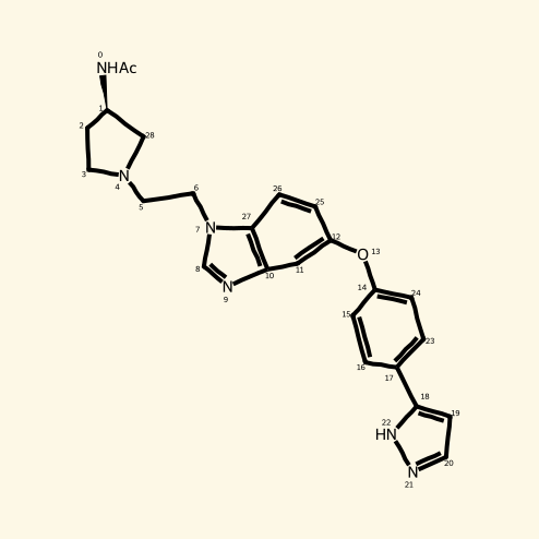 CC(=O)N[C@@H]1CCN(CCn2cnc3cc(Oc4ccc(-c5ccn[nH]5)cc4)ccc32)C1